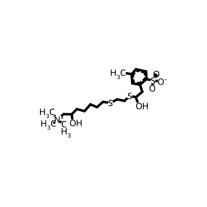 Cc1ccc(S(=O)(=O)[O-])c(CC(O)SCCSCCCCCC(O)C[N+](C)(C)C)c1